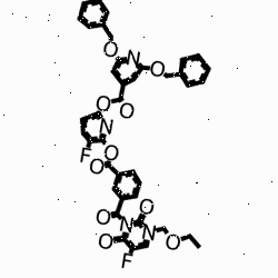 CCOCn1cc(F)c(=O)n(C(=O)c2cccc(C(=O)Oc3nc(OC(=O)c4cc(OCc5ccccc5)nc(OCc5ccccc5)c4)ccc3F)c2)c1=O